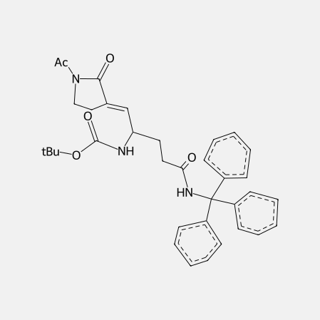 CC(=O)N1CC/C(=C\C(CCC(=O)NC(c2ccccc2)(c2ccccc2)c2ccccc2)NC(=O)OC(C)(C)C)C1=O